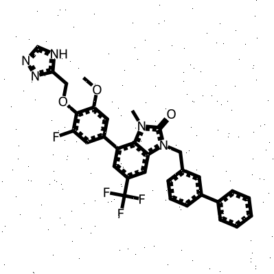 COc1cc(-c2cc(C(F)(F)F)cc3c2n(C)c(=O)n3Cc2cccc(-c3ccccc3)c2)cc(F)c1OCc1nnc[nH]1